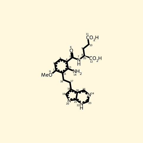 COc1ccc(C(=O)N[C@@H](CCC(=O)O)C(=O)O)c(N)c1CCc1cnc2[nH]cncc1-2